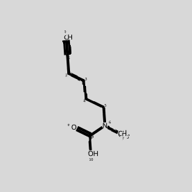 C#CCCCCN(C)C(=O)O